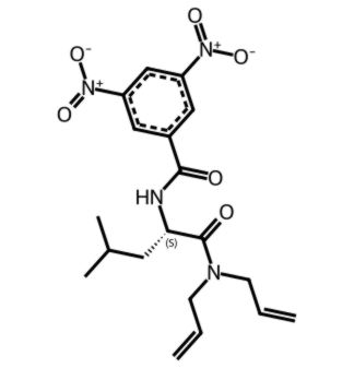 C=CCN(CC=C)C(=O)[C@H](CC(C)C)NC(=O)c1cc([N+](=O)[O-])cc([N+](=O)[O-])c1